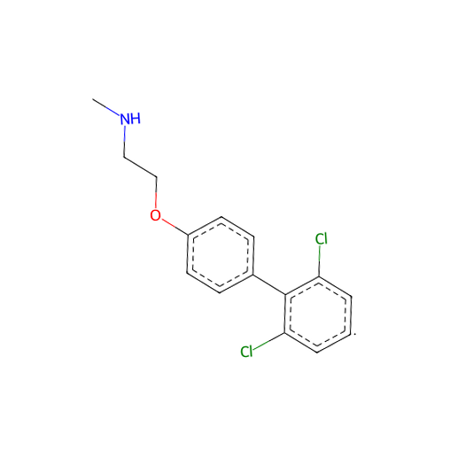 CNCCOc1ccc(-c2c(Cl)c[c]cc2Cl)cc1